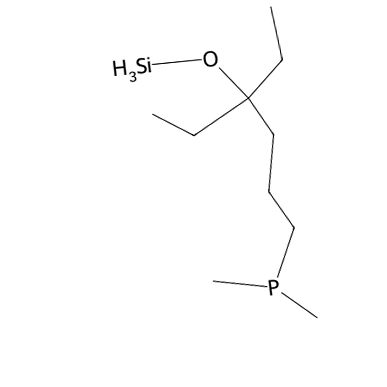 CCC(CC)(CCCP(C)C)O[SiH3]